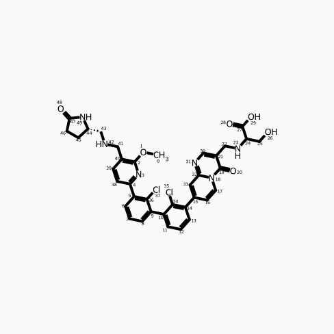 COc1nc(-c2cccc(-c3cccc(-c4ccn5c(=O)c(CNC(CO)C(=O)O)cnc5c4)c3Cl)c2Cl)ccc1CNC[C@@H]1CCC(=O)N1